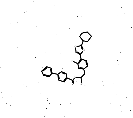 O=C(NC(Cc1ccc(-c2noc(C3CCCCC3)n2)c(F)c1)C(=O)O)c1ccc(-c2ccccc2)cc1